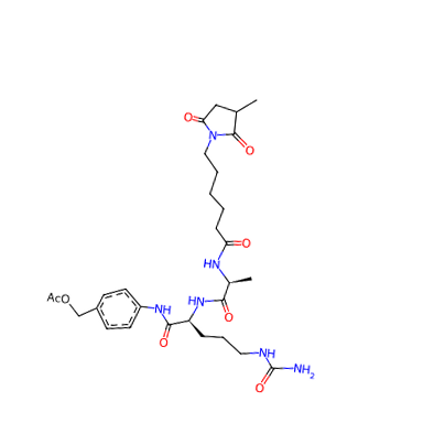 CC(=O)OCc1ccc(NC(=O)[C@H](CCCNC(N)=O)NC(=O)[C@H](C)NC(=O)CCCCCN2C(=O)CC(C)C2=O)cc1